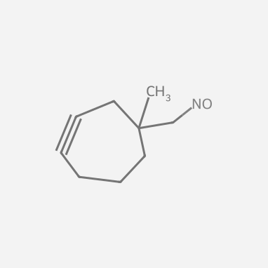 CC1(CN=O)CC#CCCC1